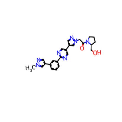 Cn1cc(-c2cccc(-c3ncc(-c4cnn(CC(=O)N5CCC[C@H]5CO)c4)cn3)c2)cn1